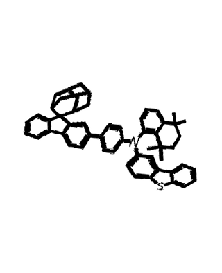 CC1(C)CCC(C)(C)c2c(N(c3ccc(-c4ccc5c(c4)C4(c6ccccc6-5)C5CC6CC(C5)CC4C6)cc3)c3ccc4sc5ccccc5c4c3)cccc21